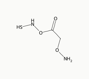 NOCC(=O)ONS